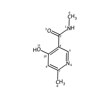 CNC(=O)c1cnc(C)cc1O